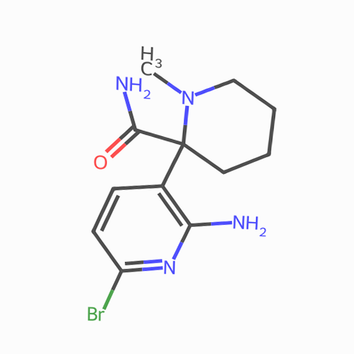 CN1CCCCC1(C(N)=O)c1ccc(Br)nc1N